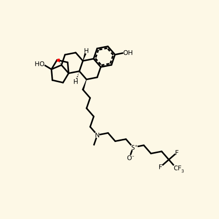 CN(CCCCC[C@@H]1Cc2cc(O)ccc2[C@H]2CC[C@]3(C)C4(O)CCC3(CC4)[C@H]12)CCC[S+]([O-])CCCC(F)(F)C(F)(F)F